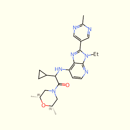 CCn1c(-c2cnc(C)nc2)nc2c(NC(C(=O)N3C[C@@H](C)O[C@@H](C)C3)C3CC3)ccnc21